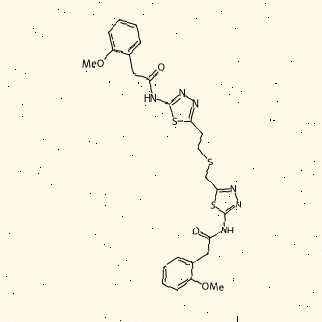 COc1ccccc1CC(=O)Nc1nnc(CCSCc2nnc(NC(=O)Cc3ccccc3OC)s2)s1